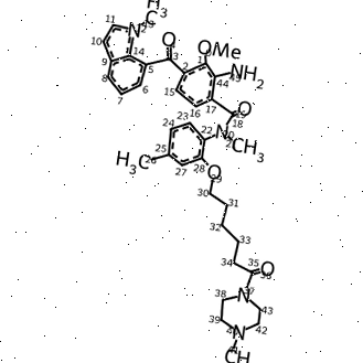 COc1c(C(=O)c2cccc3ccn(C)c23)ccc(C(=O)N(C)c2ccc(C)cc2OCCCCCC(=O)N2CCN(C)CC2)c1N